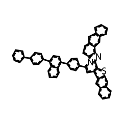 c1ccc(-c2ccc(-c3ccc(-c4ccc(-c5cc6c7cc8ccccc8cc7sc6c6nc7c8cc9ccccc9cc8ccc7n56)cc4)c4ccccc34)cc2)cc1